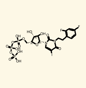 O=c1c(I)cn([C@@H]2O[C@H](COP(=O)(O)OP(=O)(O)OP(=O)(O)O)[C@H](O)C2O)c(=O)n1CCc1ccc(F)cc1F